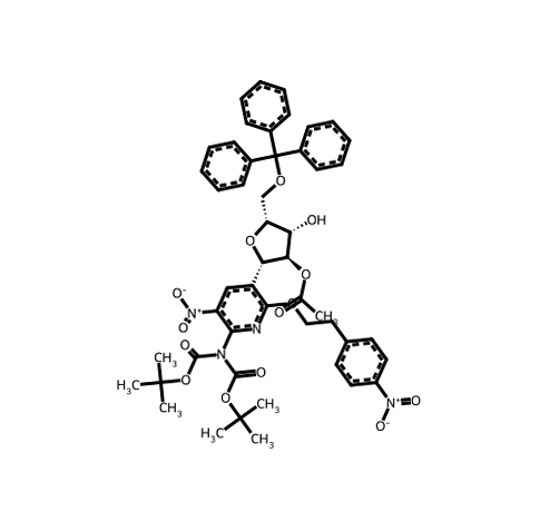 CC(=O)O[C@@H]1[C@@H](O)[C@@H](COC(c2ccccc2)(c2ccccc2)c2ccccc2)O[C@H]1c1cc([N+](=O)[O-])c(N(C(=O)OC(C)(C)C)C(=O)OC(C)(C)C)nc1OCCc1ccc([N+](=O)[O-])cc1